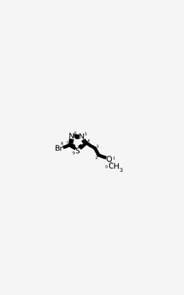 COCCc1nnc(Br)s1